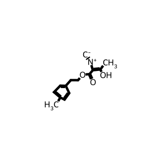 [C-]#[N+]/C(C(=O)OCCc1ccc(C)cc1)=C(\C)O